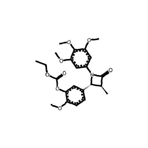 CCOC(=O)Oc1cc([C@H]2[C@H](C)C(=O)N2c2cc(OC)c(OC)c(OC)c2)ccc1OC